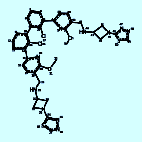 COc1nc(-c2cccc(-c3cccc(-c4ccc(CNC5CN(c6nncs6)C5)c(OC)n4)c3Cl)c2Cl)ccc1CNC1CN(c2nncs2)C1